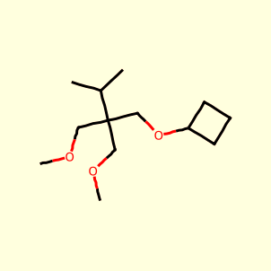 COCC(COC)(COC1CCC1)C(C)C